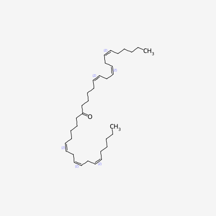 CCCCC/C=C\C/C=C\C/C=C\CCCCC(=O)CCCC/C=C\C/C=C\C/C=C\CCCCC